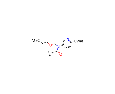 COCCOCN(C(=O)C1CC1)c1ccc(OC)nc1